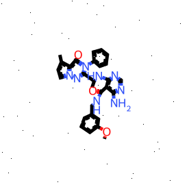 COc1cccc(CNC(=O)c2c(N)ncnc2NC(C)c2nn3ccc(C)c3c(=O)n2-c2ccccc2)c1